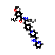 Cc1cc(OC(F)(F)F)ccc1C(=O)NC(Cc1ccc(N2CCC(CNc3ccccn3)CC2)cc1)C(=O)O